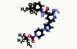 CC(C)(C)OC(=O)N1CCC(n2cc(-c3cnc(N)c(C(=O)Nc4cccc(C(C)(C)C)c4)c3)cn2)CC1